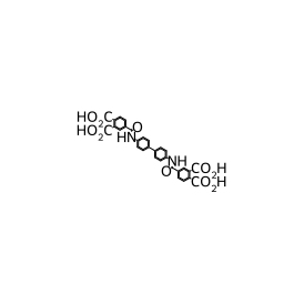 O=C(Nc1ccc(-c2ccc(NC(=O)c3ccc(C(=O)O)c(C(=O)O)c3)cc2)cc1)c1ccc(C(=O)O)c(C(=O)O)c1